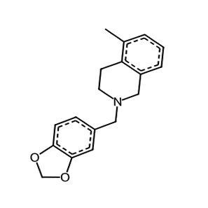 Cc1cccc2c1CCN(Cc1ccc3c(c1)OCO3)C2